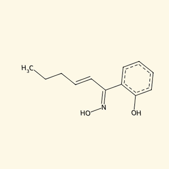 CCCC=CC(=NO)c1ccccc1O